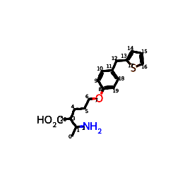 CC(N)C(CCCOc1ccc(Cc2cccs2)cc1)C(=O)O